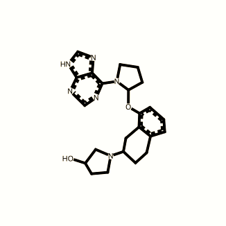 OC1CCN(C2CCc3cccc(OC4CCCN4c4ncnc5[nH]cnc45)c3C2)C1